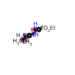 CCOC(=O)c1ccc2c(c1)NC(=O)/C2=C\CNc1ccc(N(C)C(=O)CN(C)C)cc1